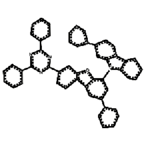 c1ccc(-c2cc(-n3c4ccccc4c4ccc(-c5ccccc5)cc43)c3oc4cc(-c5nc(-c6ccccc6)nc(-c6ccccc6)n5)ccc4c3c2)cc1